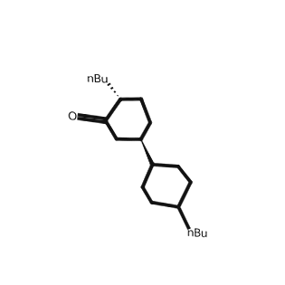 CCCCC1CCC([C@@H]2CC[C@@H](CCCC)C(=O)C2)CC1